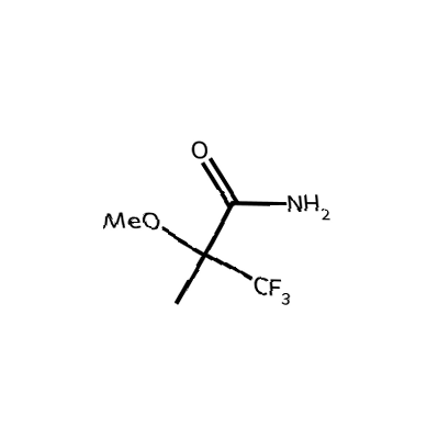 COC(C)(C(N)=O)C(F)(F)F